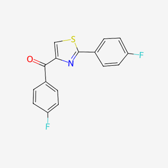 O=C(c1ccc(F)cc1)c1csc(-c2ccc(F)cc2)n1